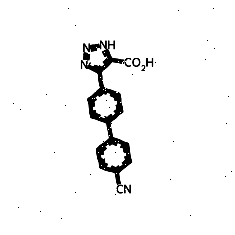 N#Cc1ccc(-c2ccc(-c3nn[nH]c3C(=O)O)cc2)cc1